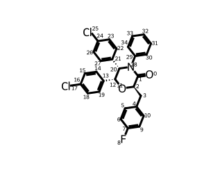 O=C1[C@@H](Cc2ccc(F)cc2)O[C@H](c2ccc(Cl)cc2)[C@H](c2ccc(Cl)cc2)N1c1ccccc1